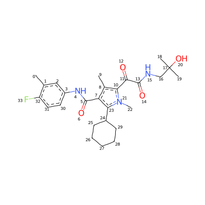 Cc1cc(NC(=O)c2c(C)c(C(=O)C(=O)NCC(C)(C)O)n(C)c2C2CCCCC2)ccc1F